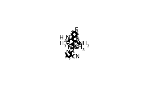 Cc1nn(Cc2ncccc2C#N)c(C)c1-c1c(C(N)=O)nc2cc(F)ccc2c1C(N)=O